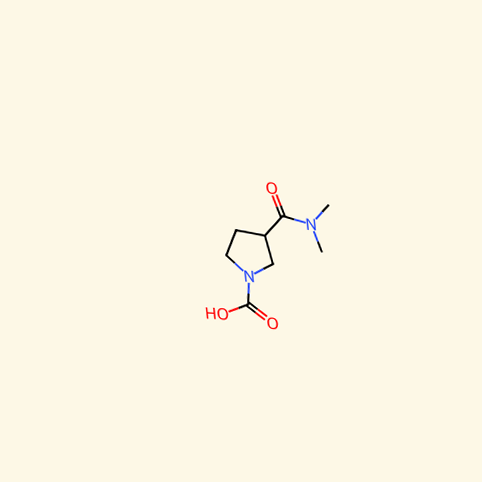 CN(C)C(=O)C1CCN(C(=O)O)C1